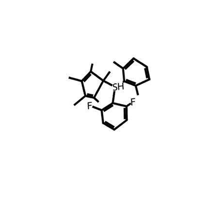 CC1=C(C)C(C)([SH](c2c(C)cccc2C)c2c(F)cccc2F)C(C)=C1C